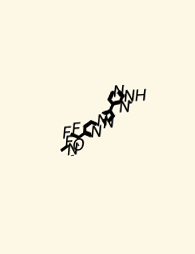 CCN(C)OC(c1ccc(-n2cc(-c3ccnc4[nH]cnc34)cn2)nc1)C(F)(F)F